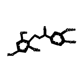 COc1cc(OC)c(CCC(=O)c2ccc(OC)c(OC)c2)c(OC)c1